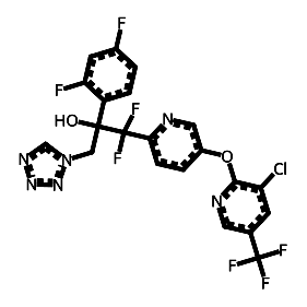 OC(Cn1cnnn1)(c1ccc(F)cc1F)C(F)(F)c1ccc(Oc2ncc(C(F)(F)F)cc2Cl)cn1